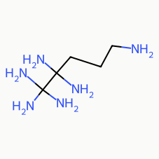 NCCCC(N)(N)C(N)(N)N